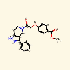 COC(=O)c1ccc(OCC(=O)N2CCc3[nH]nc(-c4ccccc4)c3C2)cc1